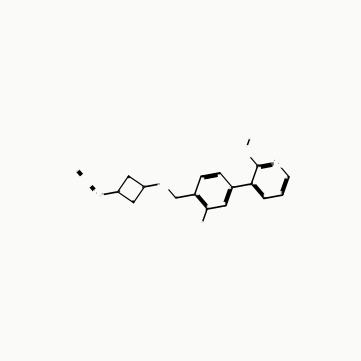 COc1ncccc1-c1ccc(COC2CC(N=C=S)C2)c(F)c1